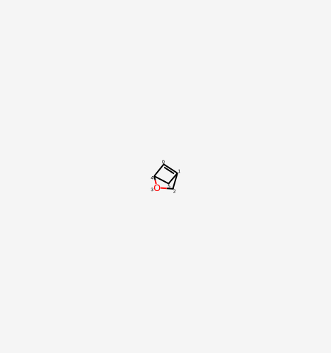 C1=C2COC1C2